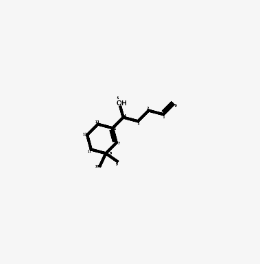 C=CCCC(O)C1=CC(C)(C)CCC1